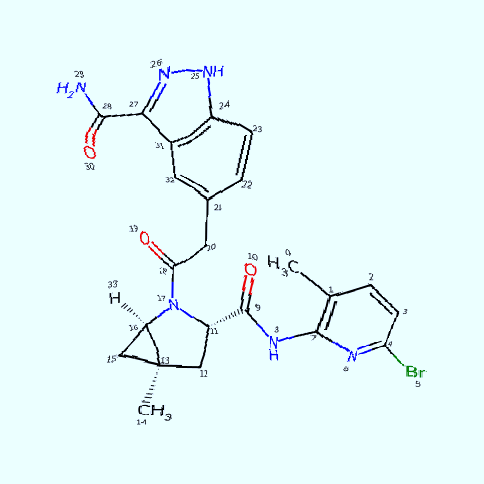 Cc1ccc(Br)nc1NC(=O)[C@@H]1C[C@@]2(C)C[C@H]2N1C(=O)Cc1ccc2[nH]nc(C(N)=O)c2c1